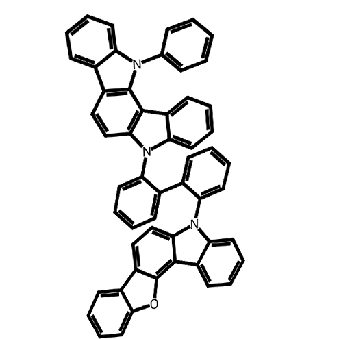 c1ccc(-n2c3ccccc3c3ccc4c(c5ccccc5n4-c4ccccc4-c4ccccc4-n4c5ccccc5c5c6oc7ccccc7c6ccc54)c32)cc1